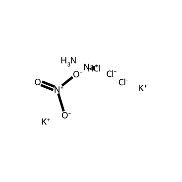 Cl.N.O=[N+]([O-])[O-].[Cl-].[Cl-].[K+].[K+].[Na+]